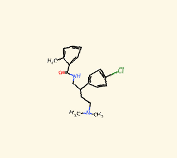 Cc1ccccc1C(=O)NCC(CCN(C)C)c1ccc(Cl)cc1